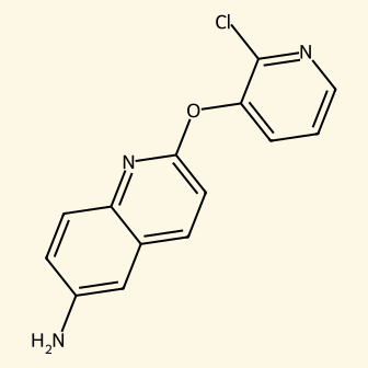 Nc1ccc2nc(Oc3cccnc3Cl)ccc2c1